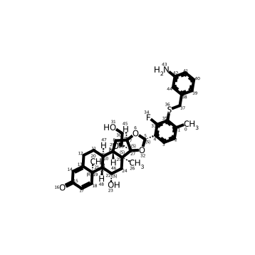 Cc1ccc([C@H]2O[C@@H]3C[C@H]4[C@@H]5CCC6=CC(=O)C=C[C@]6(C)[C@H]5[C@@H](O)C[C@]4(C)[C@]3(C(=O)CO)O2)c(F)c1SCc1cccc(N)c1